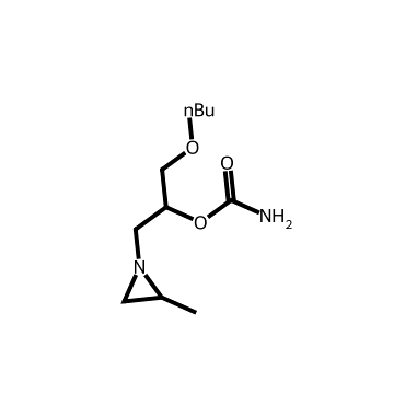 CCCCOCC(CN1CC1C)OC(N)=O